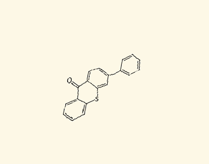 O=c1c2ccccc2sc2cc(-c3ccccc3)ccc12